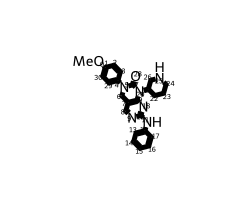 COc1ccc(N2Cc3cnc(Nc4ccccc4)nc3N(C3CCCNC3)C2=O)cc1